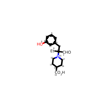 CCC(C=O)(Cc1cccc(O)c1)N1CCC(C(=O)O)CC1